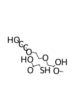 COC(O)COCCOCCO.O=C(O)CS